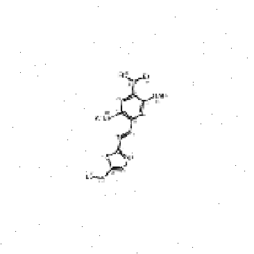 CCSc1nnc(N=Nc2cc(OC)c(N(CC)CC)cc2NC(C)=O)s1